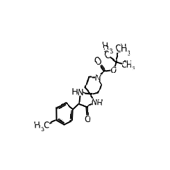 Cc1ccc(C2NC3(CCN(C(=O)OC(C)(C)C)CC3)NC2=O)cc1